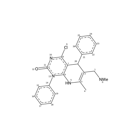 CNCC1=C(C)Nc2c(c(Cl)nc(=O)n2-c2ccccc2)C1c1ccccc1